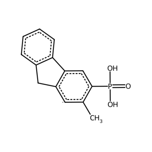 Cc1[c]c2c(cc1P(=O)(O)O)-c1ccccc1C2